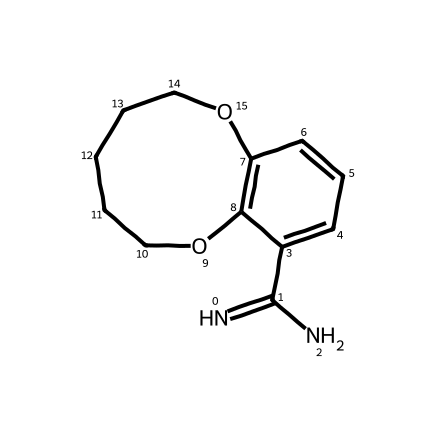 N=C(N)c1cccc2c1OCCCCCO2